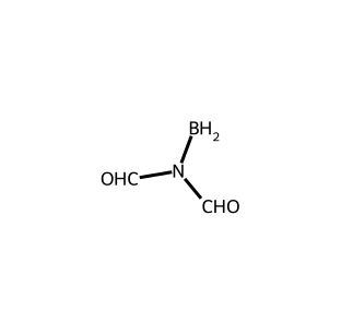 BN(C=O)C=O